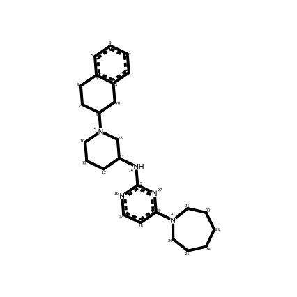 c1ccc2c(c1)CCC(N1CCCC(Nc3nccc(N4CCCCCC4)n3)C1)C2